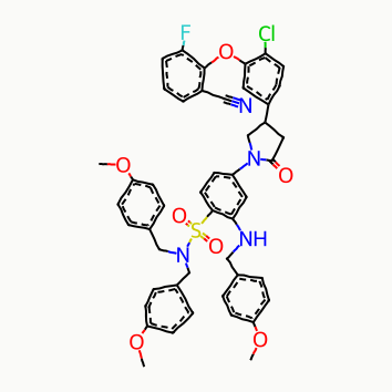 COc1ccc(CNc2cc(N3CC(c4ccc(Cl)c(Oc5c(F)cccc5C#N)c4)CC3=O)ccc2S(=O)(=O)N(Cc2ccc(OC)cc2)Cc2ccc(OC)cc2)cc1